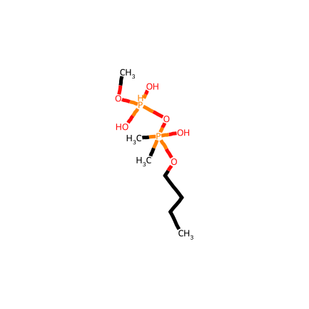 CCCCOP(C)(C)(O)O[PH](O)(O)OC